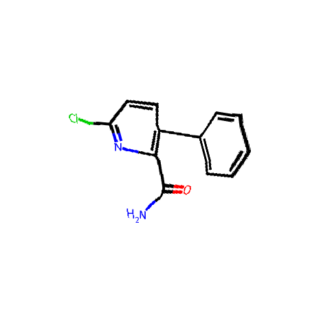 NC(=O)c1nc(Cl)ccc1-c1ccccc1